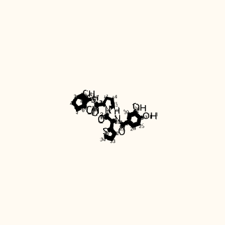 CC1(C)C2CCC1(C)C(SC(=O)C1CCCN1C(=O)C(NC(=O)c1ccc(O)c(O)c1)c1cccs1)C2